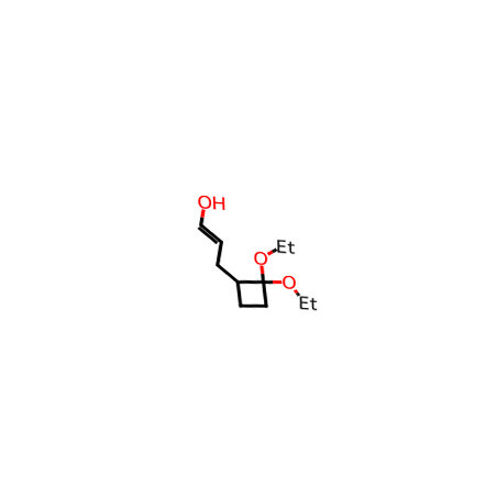 CCOC1(OCC)CCC1C/C=C/O